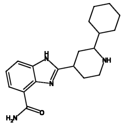 NC(=O)c1cccc2[nH]c(C3CCNC(C4CCCCC4)C3)nc12